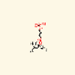 CCCC(C)(C)OOCCCCOC(=O)O